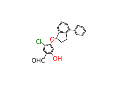 O=Cc1cc(Cl)c(O[C@H]2CCc3c(-c4ccccc4)cccc32)cc1O